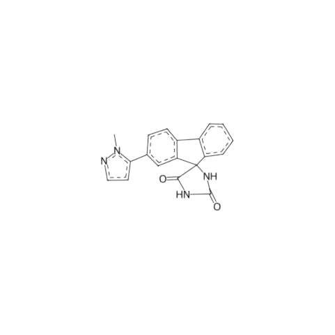 Cn1nccc1-c1ccc2c(c1)C1(NC(=O)NC1=O)c1ccccc1-2